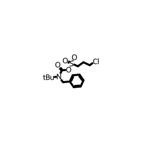 CC(C)(C)N(Cc1ccccc1)C(=O)OS(=O)(=O)CCCCl